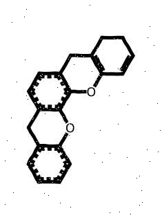 C1=CC2=C(CC1)Cc1ccc3c(c1O2)Oc1ccccc1C3